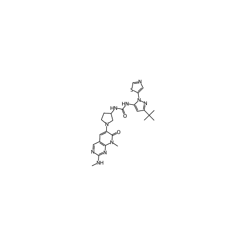 CNc1ncc2cc(N3CCC(NC(=O)Nc4cc(C(C)(C)C)nn4-c4cncs4)C3)c(=O)n(C)c2n1